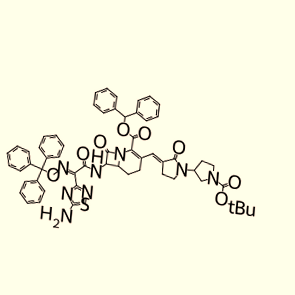 CC(C)(C)OC(=O)N1CCC(N2CC/C(=C\C3=C(C(=O)OC(c4ccccc4)c4ccccc4)N4C(=O)C(NC(=O)/C(=N/OC(c5ccccc5)(c5ccccc5)c5ccccc5)c5nsc(N)n5)C4CC3)C2=O)C1